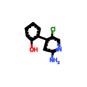 Nc1cc(-c2ccccc2O)c(Cl)cn1